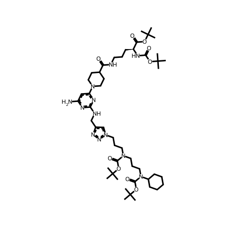 CC(C)(C)OC(=O)N[C@@H](CCCNC(=O)C1CCN(c2cc(N)nc(NCc3cn(CCCN(CCCN(C(=O)OC(C)(C)C)C4CCCCC4)C(=O)OC(C)(C)C)nn3)n2)CC1)C(=O)OC(C)(C)C